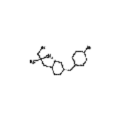 CCC1CCC(CC2CCC(CC(C)(C)CC(C)=O)CC2)CC1